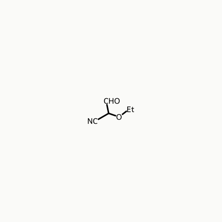 CCOC(C#N)C=O